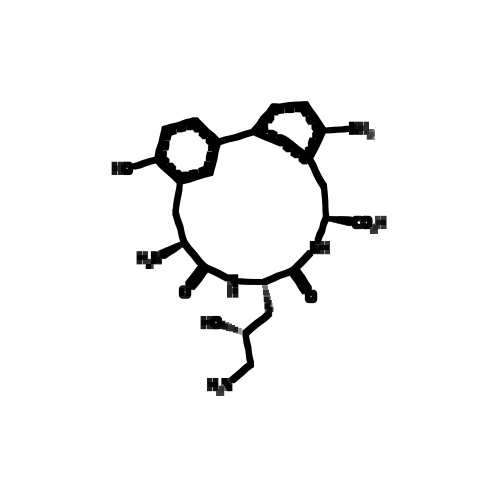 NC[C@H](O)C[C@@H]1NC(=O)[C@@H](N)Cc2cc(ccc2O)-c2ccc(N)c(c2)C[C@@H](C(=O)O)NC1=O